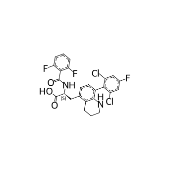 O=C(N[C@@H](Cc1ccc(-c2c(Cl)cc(F)cc2Cl)c2c1CCCN2)C(=O)O)c1c(F)cccc1F